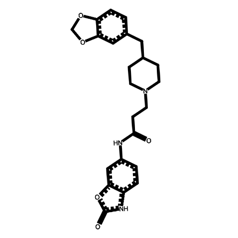 O=C(CCN1CCC(Cc2ccc3c(c2)OCO3)CC1)Nc1ccc2[nH]c(=O)oc2c1